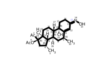 CC(=O)O[C@]1(C(C)=O)C[C@@H](C)[C@H]2[C@@H]3C[C@H](C)C4=C/C(=N\O)CC[C@]4(C)[C@H]3CC[C@@]21C